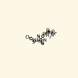 CCC(C)[C@H](N)C(=O)N[C@@H](C)C(=O)OCCOc1ccc(-c2c(C#N)c(SCc3csc(-c4ccc(Cl)cc4)n3)nc(N3CCCC3)c2C#N)cc1